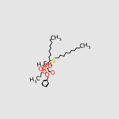 CCCCCCCCCCCSC(CCCCCCCC)C(C)OC(C(=O)OCc1ccccc1)P(=O)(O)OCCC